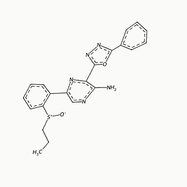 CCC[S+]([O-])c1ccccc1-c1cnc(N)c(-c2nnc(-c3ccccc3)o2)n1